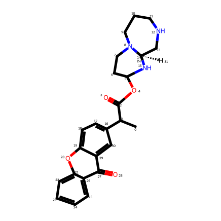 CC(C(=O)OC1CCN2CCCNC[C@H]2N1)c1ccc2oc3ccccc3c(=O)c2c1